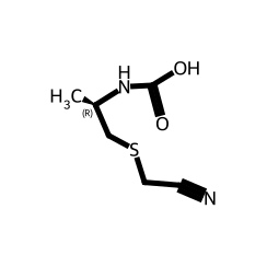 C[C@H](CSCC#N)NC(=O)O